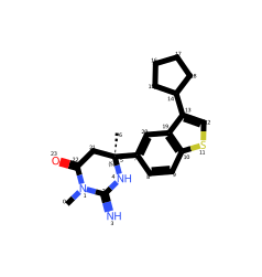 CN1C(=N)N[C@](C)(c2ccc3scc(C4CCCC4)c3c2)CC1=O